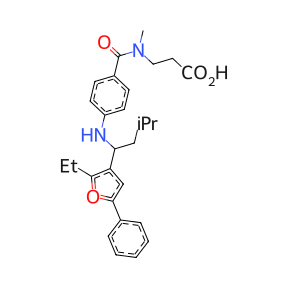 CCc1oc(-c2ccccc2)cc1C(CC(C)C)Nc1ccc(C(=O)N(C)CCC(=O)O)cc1